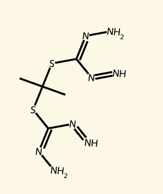 CC(C)(SC(N=N)=NN)SC(N=N)=NN